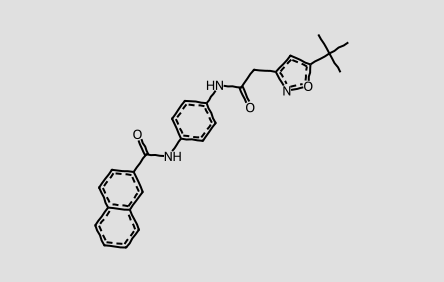 CC(C)(C)c1cc(CC(=O)Nc2ccc(NC(=O)c3ccc4ccccc4c3)cc2)no1